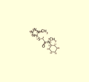 CN(C(=O)CSc1nnnn1C)C1CCCCC1